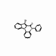 O=c1c2c(Br)c3ccccc3n2c2ccccc2n1-c1ccccc1